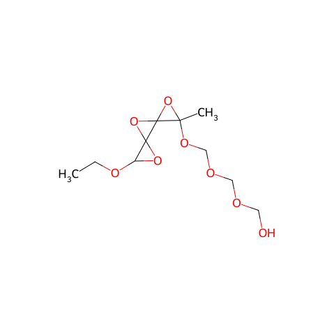 CCOC1OC12OC21OC1(C)OCOCOCO